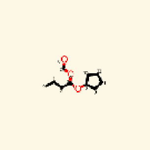 [CH2]CCC(OC=O)OC1CCCC1